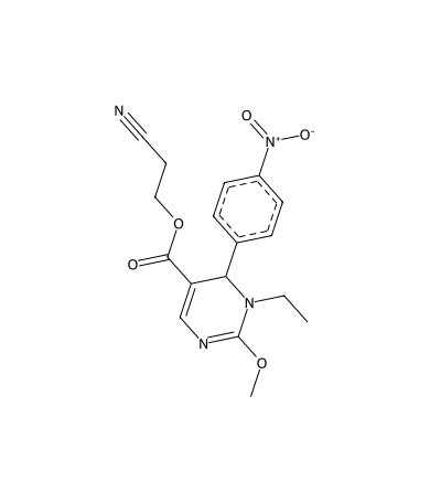 CCN1C(OC)=NC=C(C(=O)OCCC#N)C1c1ccc([N+](=O)[O-])cc1